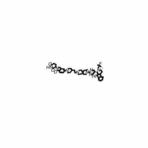 C[C@@H]1Cc2c([nH]c3ccccc23)[C@@H](c2cnc(N3CCC4(CCN(CCC5CCN(c6ccc7c(c6)CN(C6CCC(=O)NC6=O)C7=O)CC5)CC4)CC3)nc2)N1CC(C)(C)F